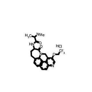 CNC(C)C(=O)NC1CCc2ccccc2N(Cc2c(OCC(F)(F)F)cnc3ccccc23)C1=O.Cl